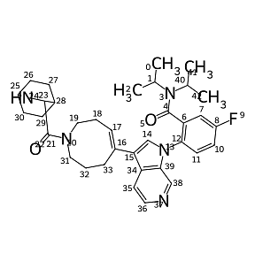 CC(C)N(C(=O)c1cc(F)ccc1-n1cc(C2=CCCN(C(=O)C3NC4CCC3CC4)CCC2)c2ccncc21)C(C)C